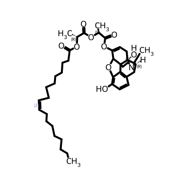 CCCCCCCC/C=C\CCCCCCCC(=O)O[C@H](C)C(=O)O[C@@H](C)C(=O)OC1=CC[C@@]2(O)[C@H]3Cc4ccc(O)c5c4C2(CCN3C)C1O5